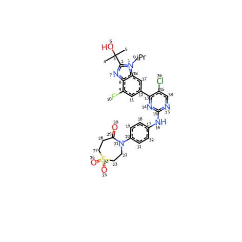 CC(C)n1c(C(C)(C)O)nc2c(F)cc(-c3nc(Nc4ccc(N5CCS(=O)(=O)CCC5=O)cc4)ncc3Cl)cc21